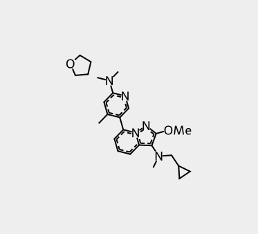 C1CCOC1.COc1nn2c(-c3cnc(N(C)C)cc3C)cccc2c1N(C)CC1CC1